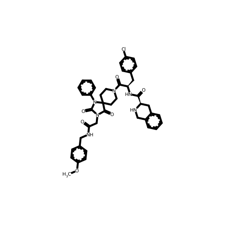 COc1ccc(CNC(=O)CN2C(=O)N(c3ccccc3)C3(CCN(C(=O)[C@@H](Cc4ccc(Cl)cc4)NC(=O)[C@H]4Cc5ccccc5CN4)CC3)C2=O)cc1